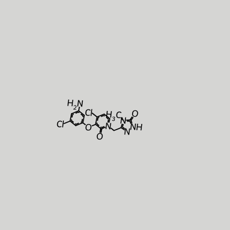 Cn1c(Cn2ccc(Cl)c(Oc3cc(N)cc(Cl)c3)c2=O)n[nH]c1=O